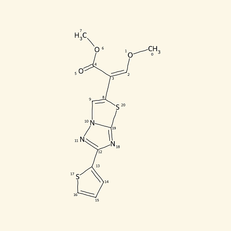 COC=C(C(=O)OC)c1cn2nc(-c3cccs3)nc2s1